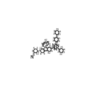 N#Cc1cccc(-c2ccc3c(c2)C2(c4cc(-c5nc(-c6ccccc6)nc(-c6ccc(-c7ccccc7)cc6)n5)ccc4-3)C3CC4CC(C3)CC2C4)c1